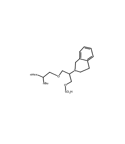 CCCCCCC(CCCC)COCC(COS(=O)(=O)O)N1CCc2ccccc2C1